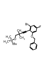 CC(C)(C#Cc1c(Br)cc(F)cc1OCc1ccccc1)CO[Si](C)(C)C(C)(C)C